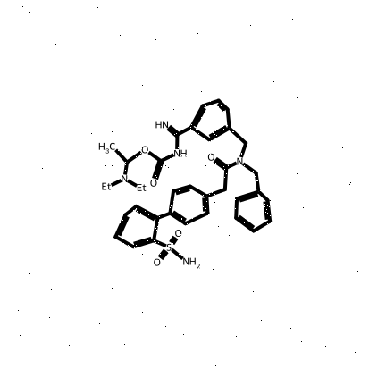 CCN(CC)C(C)OC(=O)NC(=N)c1cccc(CN(Cc2ccccc2)C(=O)Cc2ccc(-c3ccccc3S(N)(=O)=O)cc2)c1